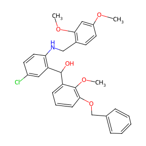 COc1ccc(CNc2ccc(Cl)cc2C(O)c2cccc(OCc3ccccc3)c2OC)c(OC)c1